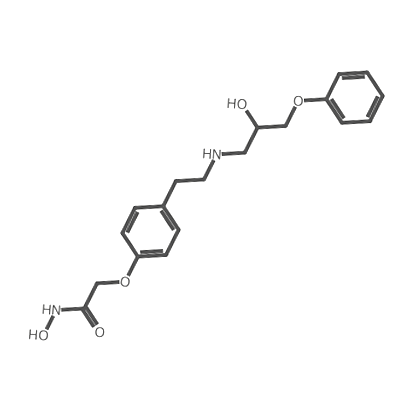 O=C(COc1ccc(CCNCC(O)COc2ccccc2)cc1)NO